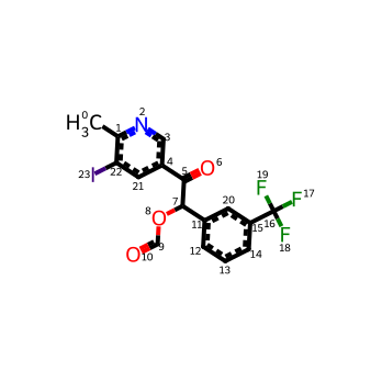 Cc1ncc(C(=O)C(OC=O)c2cccc(C(F)(F)F)c2)cc1I